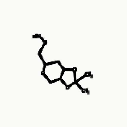 CCCCOCC1CC2OC(C)(C)OC2CO1